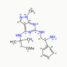 COCC(C)(C)Nc1nc(NCC(N)c2ccccc2)nc2c1cnn2C